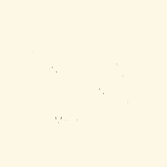 COCCN1C(=O)C(C)(C)Oc2ccc(NC3CC3)cc21